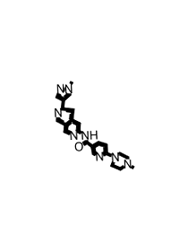 CN1CCN(c2ccc(C(=O)Nc3cc4cc(-c5cnn(C)c5)ncc4cn3)cn2)CC1